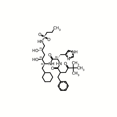 CCCS(=O)(=O)NC[C@@H](O)C[C@H](O)[C@H](CC1CCCCC1)NC(=O)[C@H](Cc1c[nH]cn1)NC(=O)C(CC(=O)C(C)(C)C)Cc1ccccc1